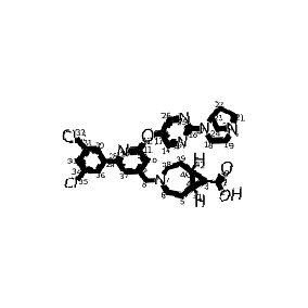 O=C(O)[C@H]1[C@@H]2CCN(Cc3cc(Oc4cnc(N5CCN6CCC5C6)nc4)nc(-c4cc(Cl)cc(Cl)c4)c3)CC[C@@H]21